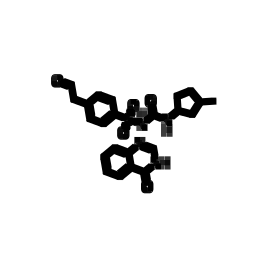 CC1CCC(NC(=O)NS(=O)(=O)c2ccc(CC=O)cc2)C1.O=c1[nH]cnc2ccccc12